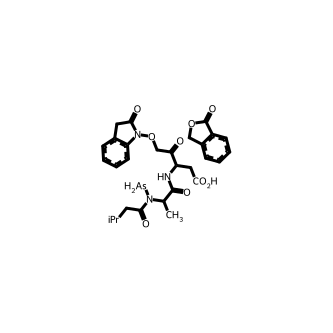 CC(C)CC(=O)N([AsH2])C(C)C(=O)NC(CC(=O)O)C(=O)CON1C(=O)Cc2ccccc21.O=C1OCc2ccccc21